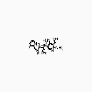 Cc1cccnc1CN(C(=O)C(=O)Nc1cnc(N)c(C=N)c1N)[C@@H](C)C(C)C